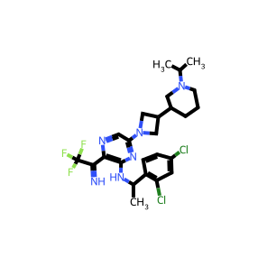 CC(Nc1nc(N2CC(C3CCCN(C(C)C)C3)C2)cnc1C(=N)C(F)(F)F)c1ccc(Cl)cc1Cl